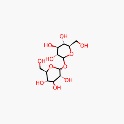 OC[C@H]1O[C](OC2O[C@H](CO)[C@@H](O)[C@H](O)[C@H]2O)[C@H](O)[C@@H](O)[C@@H]1O